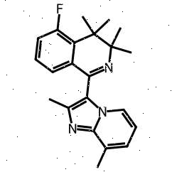 Cc1nc2c(C)cccn2c1C1=NC(C)(C)C(C)(C)c2c(F)cccc21